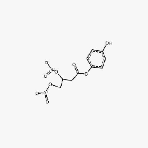 O=C(CC(CO[N+](=O)[O-])O[N+](=O)[O-])Oc1ccc(O)cc1